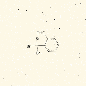 O=Cc1ccccc1C(Br)(Br)Br